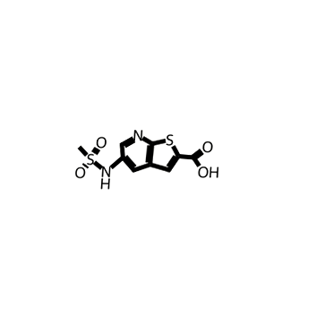 CS(=O)(=O)Nc1cnc2sc(C(=O)O)cc2c1